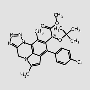 COC(=O)[C@@H](OC(C)(C)C)c1c(C)c2c3c(cc(C)n3Cc3nnnn3-2)c1-c1ccc(Cl)cc1